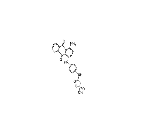 Nc1ccc(Nc2ccc(NC(=O)CS(=O)(=O)O)cc2)c2c1C(=O)c1ccccc1C2=O